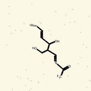 CCCCCCCCC/C=C/C(O)C(/C=N/C(=O)C(F)(F)F)CO